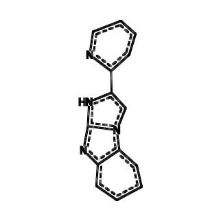 c1ccc(-c2cn3c(nc4ccccc43)[nH]2)nc1